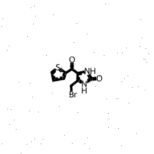 O=C(c1cccs1)c1[nH]c(=O)[nH]c1CBr